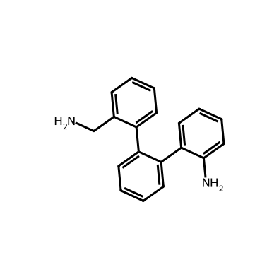 NCc1ccccc1-c1ccccc1-c1ccccc1N